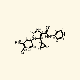 CCc1cc(-n2nnc(C(=O)Nc3ccncc3)c2C2CC2)ccc1C